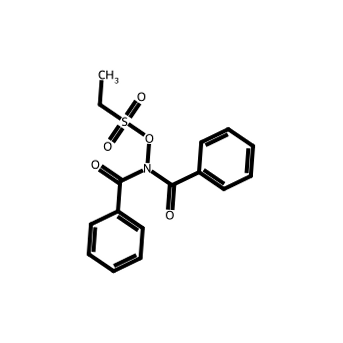 CCS(=O)(=O)ON(C(=O)c1ccccc1)C(=O)c1ccccc1